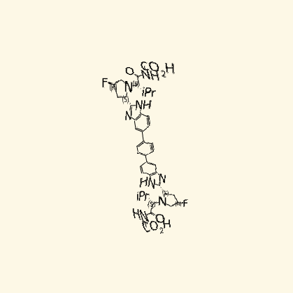 CC(C)[C@@H](C(=O)NC(=O)O)N1C[C@H](F)C[C@H]1c1nc2cc(-c3ccc(-c4ccc5[nH]c([C@@H]6C[C@@H](F)CN6[C@H](C(=O)NC(=O)O)C(C)C)nc5c4)cc3)ccc2[nH]1